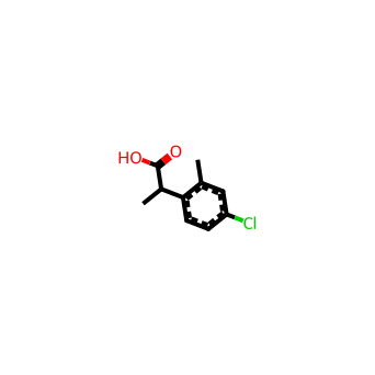 Cc1cc(Cl)ccc1C(C)C(=O)O